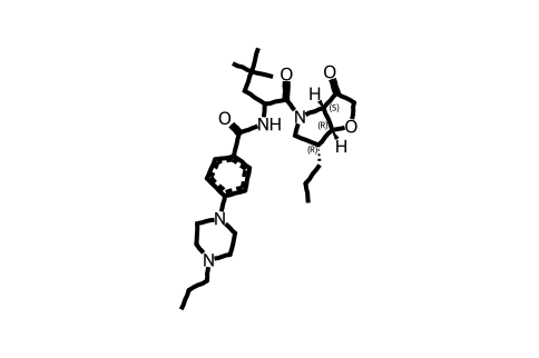 CCC[C@@H]1CN(C(=O)C(CC(C)(C)C)NC(=O)c2ccc(N3CCN(CCC)CC3)cc2)[C@@H]2C(=O)CO[C@H]12